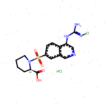 Cl.NC(=NCl)Nc1cncc2cc(S(=O)(=O)N3CCCC[C@@H]3C(=O)O)ccc12